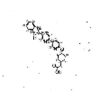 O=C(O)C[C@H]1CC[C@H](Oc2ccc(-c3cnc(-c4nc5ccccc5[nH]4)cn3)cn2)CC1